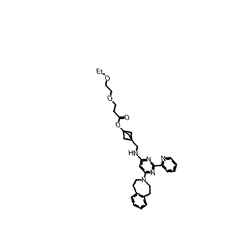 CCOCCOCCC(=O)OC12CC(CNc3cc(N4CCc5ccccc5CC4)nc(-c4ccccn4)n3)(C1)C2